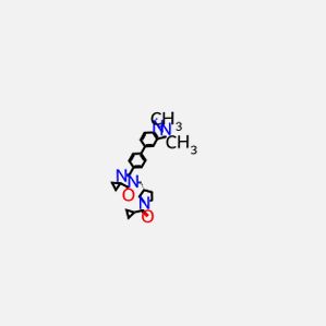 Cc1nn(C)c2ccc(-c3ccc(C4=NC5(CC5)C(=O)N4C[C@@H]4CCN(C(=O)C5CC5)C4)cc3)cc12